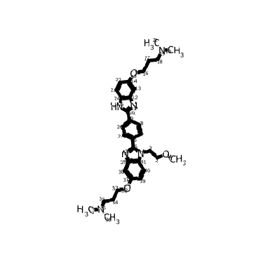 COCCn1c(-c2ccc(-c3nc4cc(OCCCN(C)C)ccc4[nH]3)cc2)nc2cc(OCCCN(C)C)ccc21